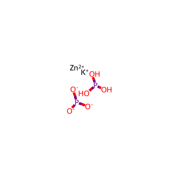 OP(O)O.[K+].[O-]P([O-])[O-].[Zn+2]